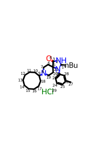 CCCCC1NC(=O)C2(CCN(C3CCCCCCCCC3)CC2)N1c1cccc(C)c1.Cl